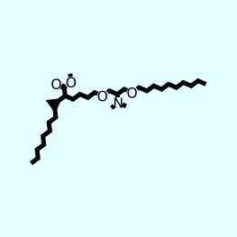 CCCCCCCCCCOCC(COCCCCC(C(=O)OC)C1CC1CCCCCCCC)N(C)C